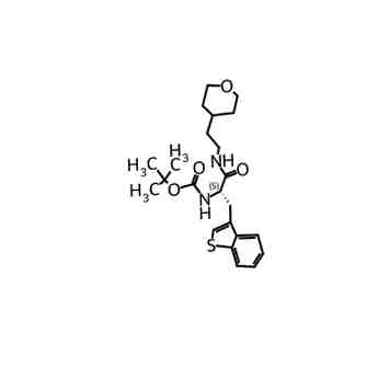 CC(C)(C)OC(=O)N[C@@H](Cc1csc2ccccc12)C(=O)NCCC1CCOCC1